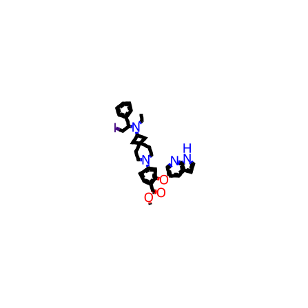 CCN(C1CC2(CCN(c3ccc(C(=O)OC)c(Oc4cnc5[nH]ccc5c4)c3)CC2)C1)C(CI)c1ccccc1